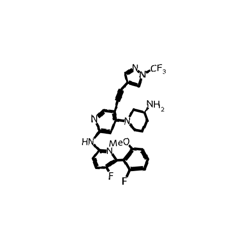 COc1cccc(F)c1-c1nc(Nc2cc(N3CCC[C@H](N)C3)c(C#Cc3cnn(C(F)(F)F)c3)cn2)ccc1F